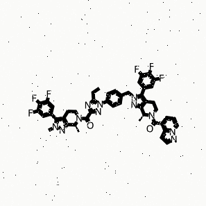 CCc1nc(C(=O)N2CCc3c(nn(C)c3-c3cc(F)c(F)c(F)c3)[C@@H]2C)nn1-c1ccc(Cn2nc3c(c2-c2cc(F)c(F)c(F)c2)CCN(C(=O)c2cccn4nccc24)[C@H]3C)cc1